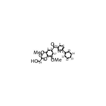 COc1cc(C(=O)c2csc(-c3ccccc3)n2)cc(OC)c1OC(=O)CO